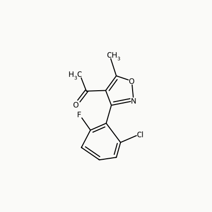 CC(=O)c1c(-c2c(F)cccc2Cl)noc1C